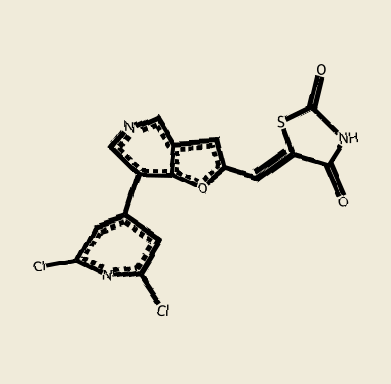 O=C1NC(=O)/C(=C/c2cc3cncc(-c4cc(Cl)nc(Cl)c4)c3o2)S1